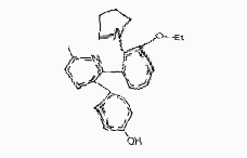 CCOc1cccc(-c2nc(C)ccc2-c2ccc(O)cc2)c1N1CCCC1